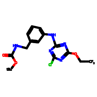 CC(C)(C)OC(=O)NCc1cccc(Nc2nc(Cl)nc(OCC(F)(F)F)n2)c1